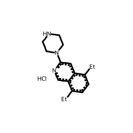 CCc1ccc(CC)c2cc(N3CCNCC3)ncc12.Cl